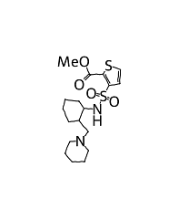 COC(=O)c1sccc1S(=O)(=O)NC1CCCCC1CN1CCCCC1